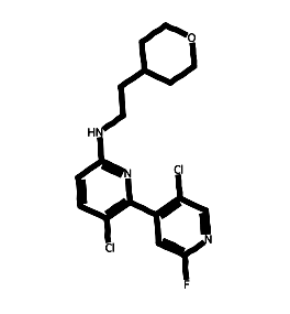 Fc1cc(-c2nc(NCCC3CCOCC3)ccc2Cl)c(Cl)cn1